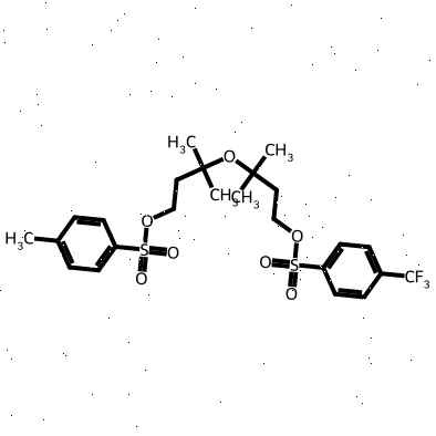 Cc1ccc(S(=O)(=O)OCCC(C)(C)OC(C)(C)CCOS(=O)(=O)c2ccc(C(F)(F)F)cc2)cc1